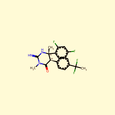 CN1C(=N)N[C@](C)(c2ccc(F)cc2F)[C@@H](c2ccc(C(C)(F)F)cc2)C1=O